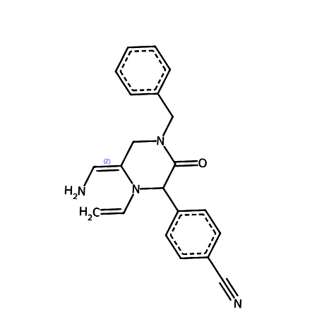 C=CN1/C(=C\N)CN(Cc2ccccc2)C(=O)C1c1ccc(C#N)cc1